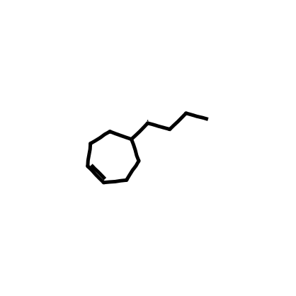 CCC[CH]C1CCC=CCC1